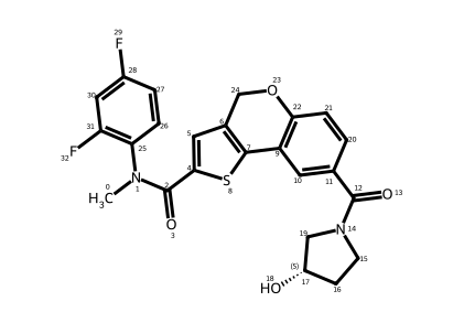 CN(C(=O)c1cc2c(s1)-c1cc(C(=O)N3CC[C@H](O)C3)ccc1OC2)c1ccc(F)cc1F